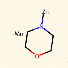 [Mn].[Zn][N]1CCOCC1